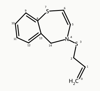 C=CCSN1C=CSc2ccccc2C1